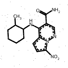 CC1CCCCC1Nc1c(C(N)=O)cnn2c([N+](=O)[O-])ccc12